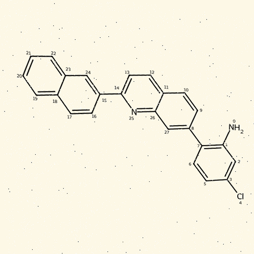 Nc1cc(Cl)ccc1-c1ccc2ccc(-c3ccc4ccccc4c3)nc2c1